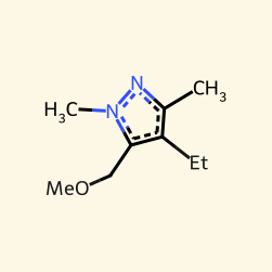 CCc1c(C)nn(C)c1COC